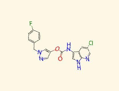 O=C(Nc1c[nH]c2ncc(Cl)cc12)Oc1cnn(Cc2ccc(F)cc2)c1